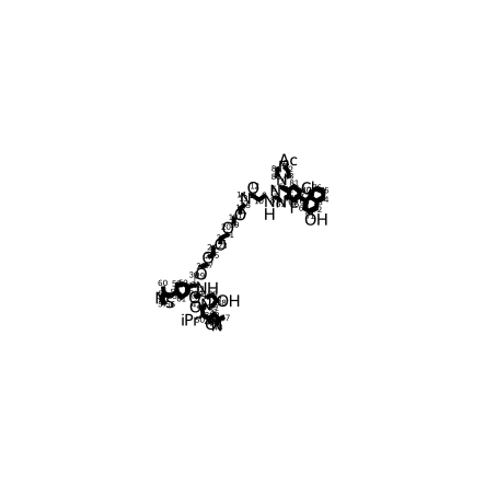 CC(=O)N1CCN(c2nc(NCCC(=O)N(C)CCOCCOCCOCCOCCOC[C@H](NC(=O)[C@@H]3C[C@@H](O)CN3C(=O)[C@@H](c3cc(C)no3)C(C)C)c3ccc(-c4scnc4C)cc3)nc3c(F)c(-c4cc(O)cc5ccccc45)c(Cl)cc23)CC1